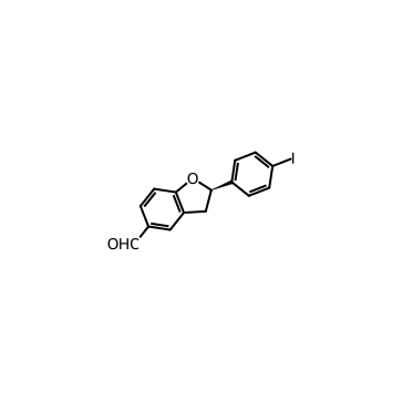 O=Cc1ccc2c(c1)C[C@H](c1ccc(I)cc1)O2